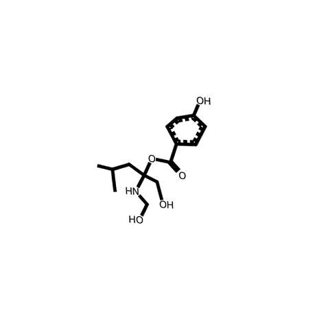 CC(C)CC(CO)(NCO)OC(=O)c1ccc(O)cc1